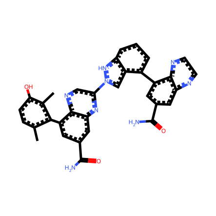 Cc1ccc(O)c(C)c1-c1cc(C(N)=O)cc2nc(-[n+]3cc4c(-c5cc(C(N)=O)cc6nccnc56)cccc4[nH]3)cnc12